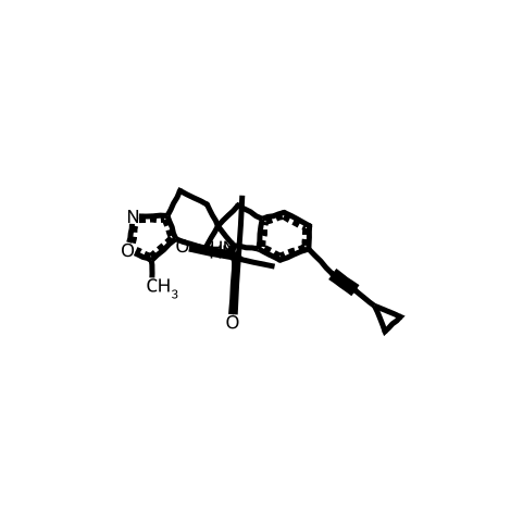 Cc1onc2c1CC1(CC2)Cc2ccc(C#CC3CC3)cc2C12NC(=O)NC2=O